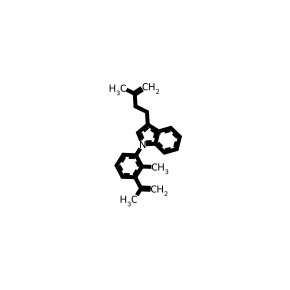 C=C(C)CCc1cn(-c2cccc(C(=C)C)c2C)c2ccccc12